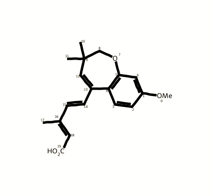 COc1ccc2c(c1)OCC(C)(C)C=C2C=CC(C)=CC(=O)O